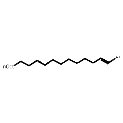 [CH2]CCCCCCCCCCCCCCCCCC=CCC